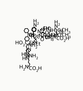 C1CCC(NC2CCCCC2)CC1.CC(O)N(C)C.CCN(CC)CCO.CCN(CC)CCOC(=O)c1ccc(N)cc1.Cn1c(=O)c2c(ncn2C)n(C)c1=O.N=C(N)NCCCC(N)C(=O)O.NC(Cc1c[nH]cn1)C(=O)O.NCCCCC(N)C(=O)O